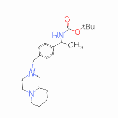 CC(NC(=O)OC(C)(C)C)c1ccc(CN2CCN3CCCCC3C2)cc1